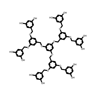 Oc1cc(O)cc(COc2cc(COc3cc(OCc4cc(OCc5cc(O)cc(O)c5)cc(OCc5cc(O)cc(O)c5)c4)cc(OCc4cc(OCc5cc(O)cc(O)c5)cc(OCc5cc(O)cc(O)c5)c4)c3)cc(OCc3cc(O)cc(O)c3)c2)c1